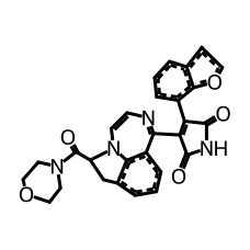 O=C1NC(=O)C(c2cccc3ccoc23)=C1C1=NC=CN2c3c(cccc31)CC2C(=O)N1CCOCC1